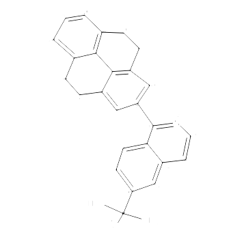 CC(C)(C)c1ccc2c(-c3cc4c5c(c3)CCc3cccc(c3-5)CC4)nccc2c1